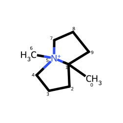 CC12CCC[N+]1(C)CCC2